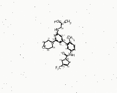 Cc1ccc(NC(=O)N2CC=C(C(F)(F)F)C2)cc1-c1cc(NC[C@@H](C)O)nc(N2CCOCC2)c1